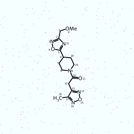 COCc1noc(C2CCN(C(=O)Cc3nonc3C)CC2)n1